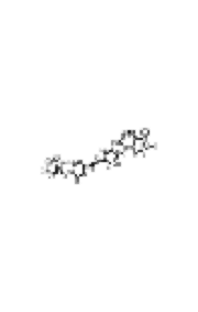 O=c1[nH]cnc(C2(Cc3ccc(C#Cc4ccc(CN5CCOCC5)cc4)cc3)CC2)c1O